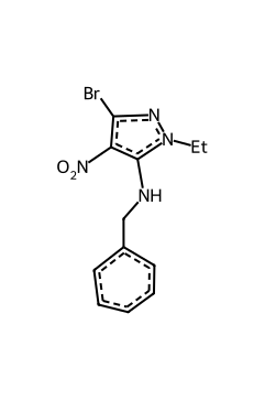 CCn1nc(Br)c([N+](=O)[O-])c1NCc1ccccc1